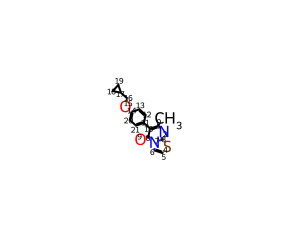 Cc1nc2sccn2c(=O)c1-c1ccc(OCC2CC2)cc1